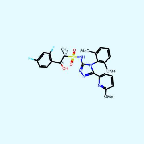 COc1cccc(-c2nnc(NS(=O)(=O)[C@@H](C)[C@@H](O)c3ccc(F)cc3F)n2-c2c(OC)cccc2OC)n1